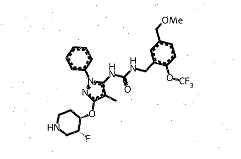 COCc1ccc(OC(F)(F)F)c(CNC(=O)Nc2c(C)c(O[C@@H]3CCNC[C@H]3F)nn2-c2ccccc2)c1